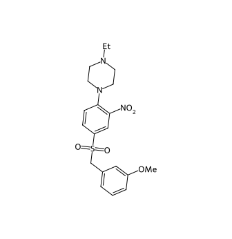 CCN1CCN(c2ccc(S(=O)(=O)Cc3cccc(OC)c3)cc2[N+](=O)[O-])CC1